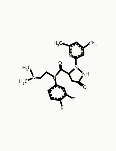 Cc1cc(C(F)(F)F)cc(N2NC(=O)CC2C(=O)N(CCN(C)C)c2ccc(F)c(F)c2)n1